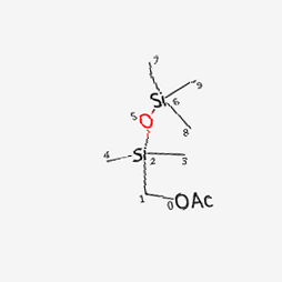 CC(=O)OC[Si](C)(C)O[Si](C)(C)C